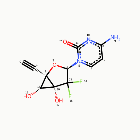 C#C[C@]12O[C@@H](n3ccc(N)nc3=O)C(F)(F)[C@@]1(O)[C@@H]2O